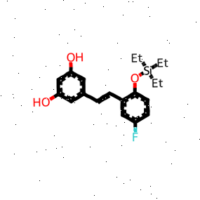 CC[Si](CC)(CC)Oc1ccc(F)cc1/C=C/c1cc(O)cc(O)c1